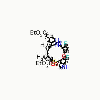 CCOC(=O)/C=C/c1cccc(C2(C)CCCC(C)(C)/C=C(\C(=O)OCC)S(=O)(=O)Cc3c(c(F)cc4[nH]ccc34)Oc3ccc(F)c(c3)-c3ncc2[nH]3)c1